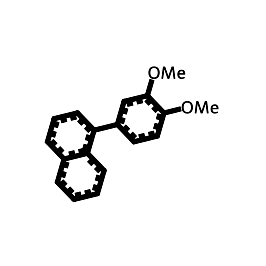 COc1ccc(-c2cccc3ccccc23)cc1OC